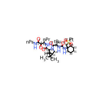 CCCNC(=O)C(=O)C(CCC)NC(=O)[C@@H]1[C@@H]2C(CN1C(=O)[C@@H](NC(=O)NC1(CS(=O)(=O)CC)CCCCC1)C(C)(C)C)C2(C)C